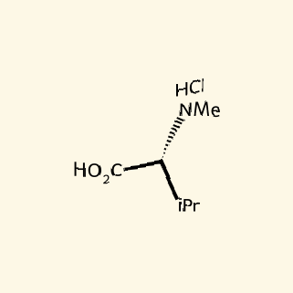 CN[C@@H](C(=O)O)C(C)C.Cl